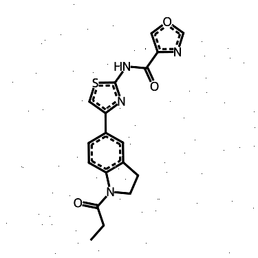 CCC(=O)N1CCc2cc(-c3csc(NC(=O)c4cocn4)n3)ccc21